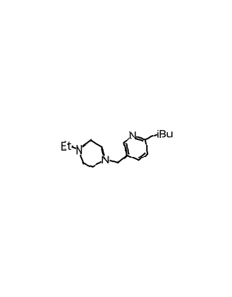 CCC(C)c1ccc(CN2CCN(CC)CC2)cn1